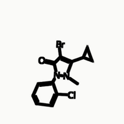 Cn1c(C2CC2)c(Br)c(=O)n1-c1ccccc1Cl